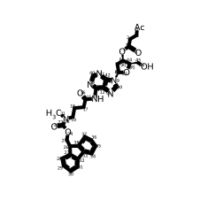 CC(=O)CCC(=O)O[C@@H]1C[C@H](n2cnc3c(NC(=O)CCCN(C)C(=O)OCC4c5ccccc5-c5ccccc54)ncnc32)O[C@@H]1CO